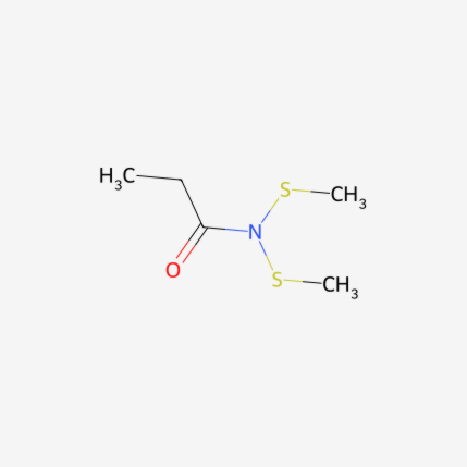 CCC(=O)N(SC)SC